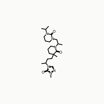 CC(C)N1CCCN(CC(C)N2CCCC(C)(CCC(C)n3cnn(C)c3=O)C2=O)C1=O